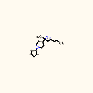 BCCCCC(N)(C(=O)O)C1CCN(C2CCCC2)CC1